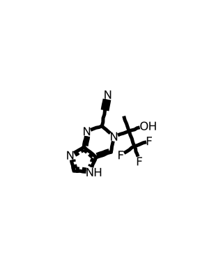 CC(O)(N1C=c2[nH]cnc2=NC1C#N)C(F)(F)F